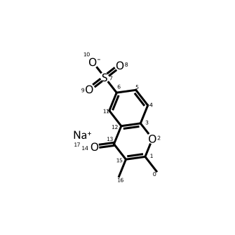 Cc1oc2ccc(S(=O)(=O)[O-])cc2c(=O)c1C.[Na+]